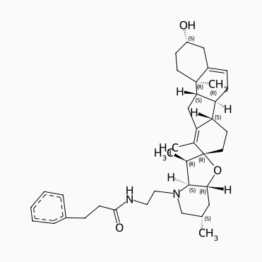 CC1=C2C[C@H]3[C@@H](CC=C4C[C@@H](O)CC[C@@]43C)[C@@H]2CC[C@]12O[C@@H]1C[C@H](C)CN(CCNC(=O)CCc3ccccc3)[C@H]1[C@H]2C